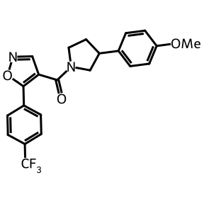 COc1ccc(C2CCN(C(=O)c3cnoc3-c3ccc(C(F)(F)F)cc3)C2)cc1